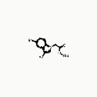 CC(=O)c1cn(CC(=O)OC(C)(C)C)c2ccc(Br)cc12